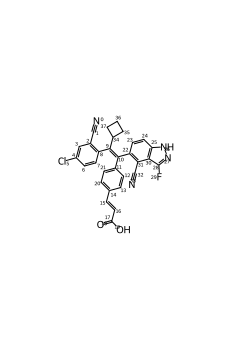 N#Cc1cc(Cl)ccc1/C(=C(\c1ccc(/C=C/C(=O)O)cc1)c1ccc2[nH]nc(F)c2c1C#N)C1CCC1